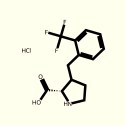 Cl.O=C(O)[C@H]1NCCC1Cc1ccccc1C(F)(F)F